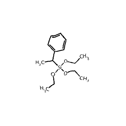 CCO[Si](OCC)(OCC)C(C)c1ccccc1